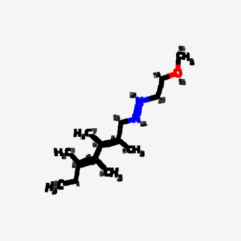 CC/C(C)=C(C)/C(C)=C(\C)CN=NCCOC